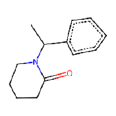 CC(c1ccccc1)N1CCCCC1=O